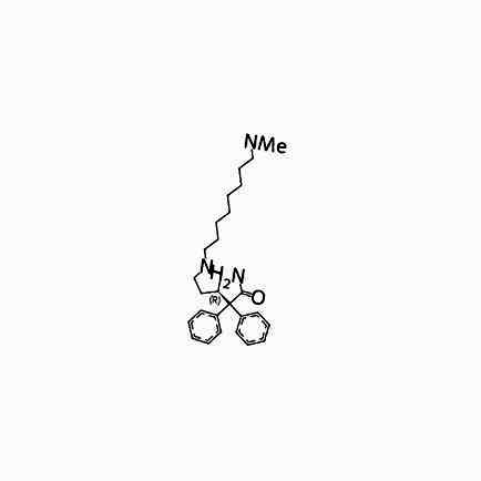 CNCCCCCCCCN1CC[C@H](C(C(N)=O)(c2ccccc2)c2ccccc2)C1